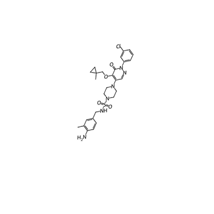 Cc1cc(CNS(=O)(=O)N2CCN(c3cnn(-c4cccc(Cl)c4)c(=O)c3OCC3(C)CC3)CC2)ccc1N